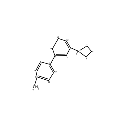 Cc1ccc(C2=CC(N3CCC3)=CC[CH]2)cc1